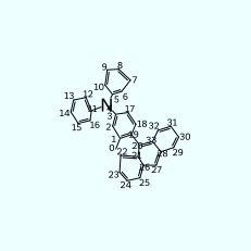 Cc1cc(N(c2ccccc2)c2ccccc2)ccc1-c1c2ccccc2cc2ccccc12